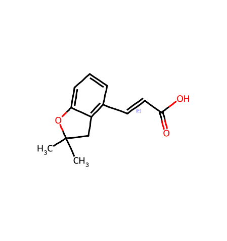 CC1(C)Cc2c(/C=C/C(=O)O)cccc2O1